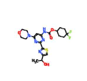 CC(O)c1csc(-c2nc(NC(=O)OC3CCC(F)(F)CC3)cc(N3CCOCC3)n2)n1